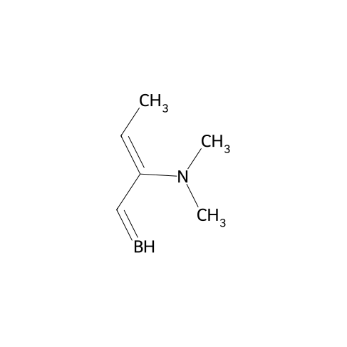 B=C/C(=C/C)N(C)C